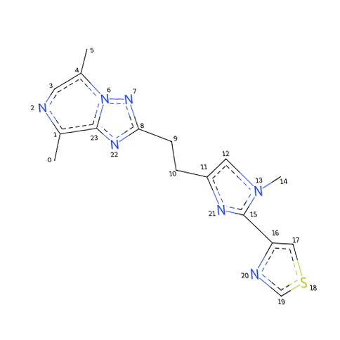 Cc1ncc(C)n2nc(CCc3cn(C)c(-c4cscn4)n3)nc12